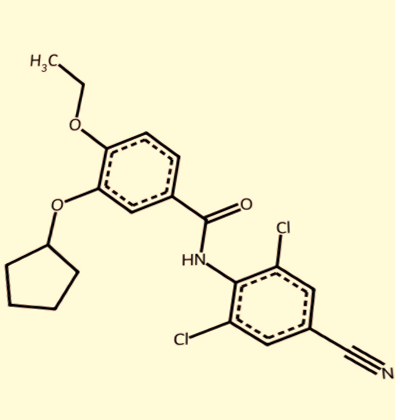 CCOc1ccc(C(=O)Nc2c(Cl)cc(C#N)cc2Cl)cc1OC1CCCC1